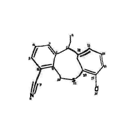 CC1c2cccc(C#N)c2CSc2c(Cl)cccc21